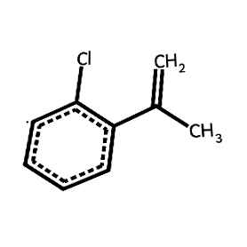 C=C(C)c1ccc[c]c1Cl